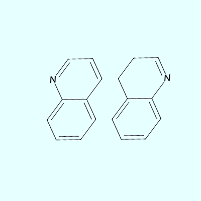 C1=Nc2ccccc2CC1.c1ccc2ncccc2c1